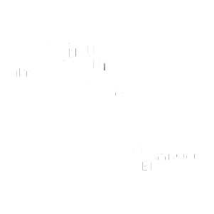 CCCCCCCCOC[C@@H](CC)OCCCCCCO[C@H]1CC[C@@]2(C)C(=CC[C@H]3[C@@H]4CC[C@H]([C@H](C)CCCC(C)C)[C@@]4(C)CC[C@@H]32)C1